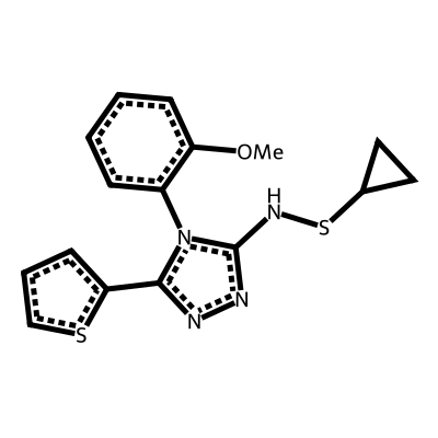 COc1ccccc1-n1c(NSC2CC2)nnc1-c1cccs1